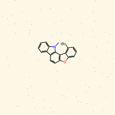 Cn1c2ccccc2c2ccc3oc4cccc(C(C)(C)C)c4c3c21